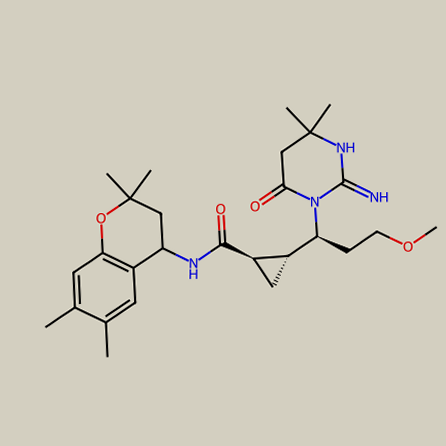 COCC[C@@H]([C@@H]1C[C@H]1C(=O)NC1CC(C)(C)Oc2cc(C)c(C)cc21)N1C(=N)NC(C)(C)CC1=O